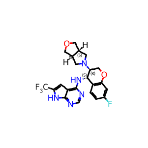 Fc1ccc2c(c1)OC[C@H](N1C[C@H]3COC[C@@H]3C1)[C@H]2Nc1ncnc2[nH]c(C(F)(F)F)cc12